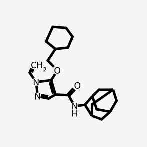 C=Cn1ncc(C(=O)NC2C3CC4CC(C3)CC2C4)c1OCC1CCCCC1